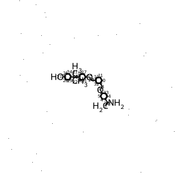 C=C(N)c1ccc(OCc2cccc(COc3ccc(C(C)(C)c4ccc(O)cc4)cc3)c2)cc1